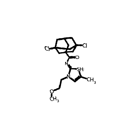 COCCN1C=C(C)[SH]C1=NC(=O)C12CC3CC(Cl)(CC(Cl)(C3)C1)C2